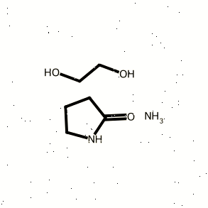 N.O=C1CCCN1.OCCO